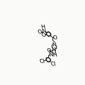 O=C(NCc1cc(Cl)cc(Cl)c1)ON1CCN(CCC(=O)c2ccc3[nH]c(=O)oc3c2)CC1